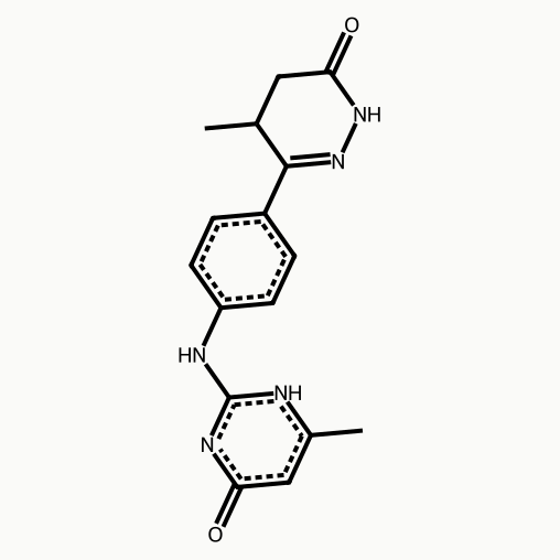 Cc1cc(=O)nc(Nc2ccc(C3=NNC(=O)CC3C)cc2)[nH]1